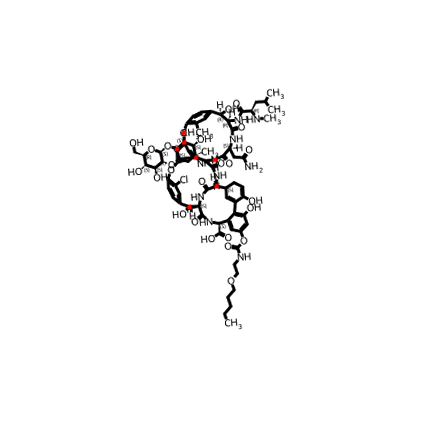 CCCCCOCCNC(=O)Oc1cc(O)c2c(c1)[C@@H](C(=O)O)NC(=O)[C@H]1NC(=O)[C@H](NC(=O)[C@@H]3NC(=O)[C@H](CC(N)=O)NC(=O)[C@H](NC(=O)[C@@H](CC(C)C)NC)[C@H](O)c4ccc(c(C)c4)Oc4cc3cc(c4O[C@@H]3O[C@H](CO)[C@@H](O)[C@H](O)[C@H]3O[C@H]3C[C@](C)(N)[C@H](O)[C@H](C)O3)Oc3ccc(cc3Cl)[C@H]1O)[C@@H]1C=C2C(O)=CC1